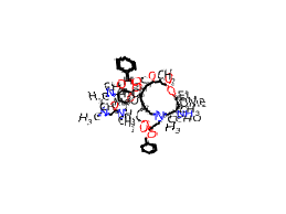 CC[C@H]1OC(=O)C(C)C(=O)[C@H](C)[C@@H](O[C@@H]2O[C@H](CN(C)C(=O)CN(C)C)CC(N(C)C)[C@H]2OC(=O)c2ccccc2)[C@](C)(OC)C[C@@H](C)CN(CC(=O)OCc2ccccc2)[C@H](C)[C@@H](NC=O)[C@]1(C)OC